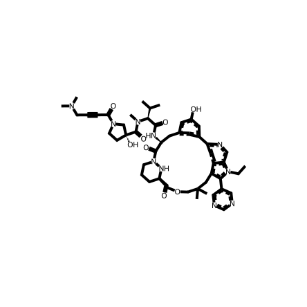 CCn1c(-c2cncnc2)c2c3cc(ncc31)-c1cc(O)cc(c1)C[C@H](NC(=O)[C@H](C(C)C)N(C)C(=O)[C@@]1(O)CCN(C(=O)C#CCN(C)C)C1)C(=O)N1CCCC(C=O)(COCC(C)(C)C2)N1